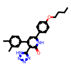 CCCCOc1ccc(-c2cc(-c3ccc(C)c(C)c3)c(-c3nnn[nH]3)c(=O)[nH]2)cc1